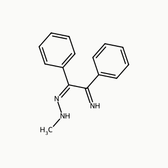 CN/N=C(\C(=N)c1ccccc1)c1ccccc1